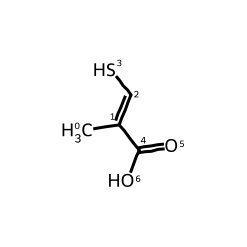 C/C(=C\S)C(=O)O